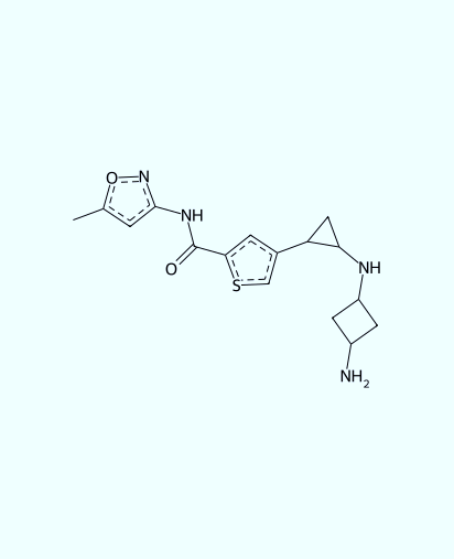 Cc1cc(NC(=O)c2cc(C3CC3NC3CC(N)C3)cs2)no1